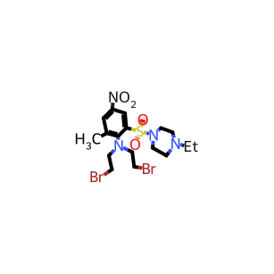 CCN1CCN(S(=O)(=O)c2cc([N+](=O)[O-])cc(C)c2N(CCBr)CCBr)CC1